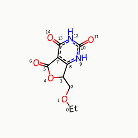 CCOCC1OC(=O)c2c1[nH]c(=O)[nH]c2=O